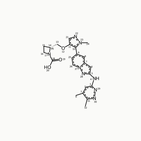 Cc1cc(Nc2cc3cc(-c4c(OC[C@H]5CCN5C(=O)O)cnn4C)ccn3n2)nnc1C